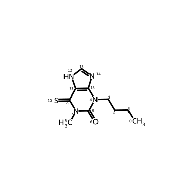 CCCCn1c(=O)n(C)c(=S)c2[nH]cnc21